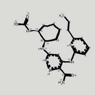 CCCc1cccc(Nc2cc(N[C@@H]3CCCC[C@@H]3NC(=O)O)nnc2C(N)=O)n1